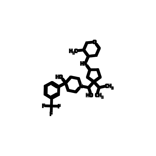 CC1COCCC1NC1CCC(C(C)C)(C(O)N2CCC(O)(c3cccc(C(F)(F)F)c3)CC2)C1